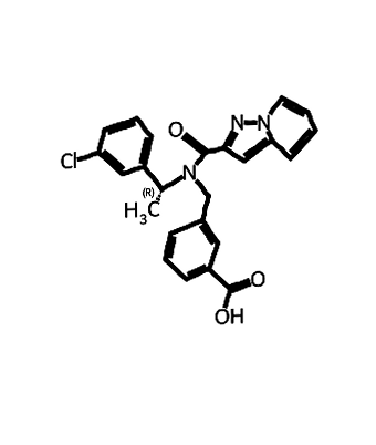 C[C@H](c1cccc(Cl)c1)N(Cc1cccc(C(=O)O)c1)C(=O)c1cc2ccccn2n1